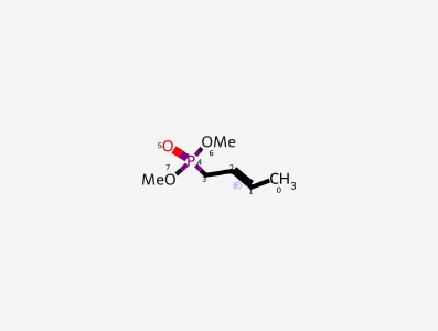 C/C=C/CP(=O)(OC)OC